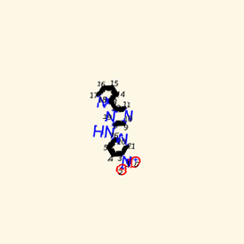 O=[N+]([O-])c1ccc(Nc2cncc(-c3ccccn3)n2)nc1